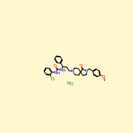 COc1ccc(CN2CCC3(CCN(CCC(NC(=O)Nc4ccccc4Cl)c4ccccc4)CC3)C2=O)cc1.Cl